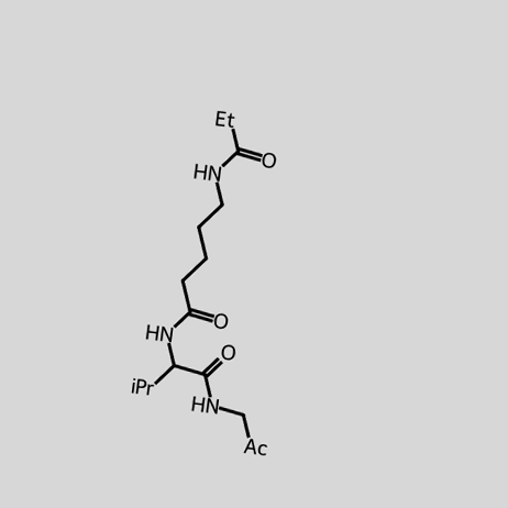 CCC(=O)NCCCCC(=O)NC(C(=O)NCC(C)=O)C(C)C